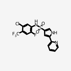 O=S(=O)(Nc1cc(Cl)c(C(F)(F)F)cc1F)c1c[nH]c(-c2ccccn2)c1